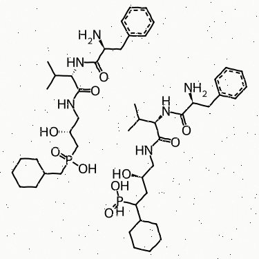 CC(C)[C@@H](NC(=O)[C@@H](N)Cc1ccccc1)C(=O)NC[C@H](O)CC(C1CCCCC1)[PH](=O)O.CC(C)[C@H](NC(=O)[C@@H](N)Cc1ccccc1)C(=O)NC[C@@H](O)CP(=O)(O)CC1CCCCC1